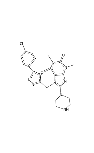 Cn1c(=O)c2c(nc(N3CCNCC3)n2Cc2nnc(-c3ccc(Cl)cc3)o2)n(C)c1=O